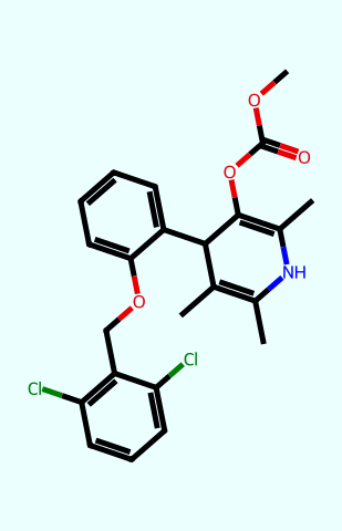 COC(=O)OC1=C(C)NC(C)=C(C)C1c1ccccc1OCc1c(Cl)cccc1Cl